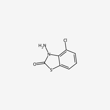 Nn1c(=O)sc2cccc(Cl)c21